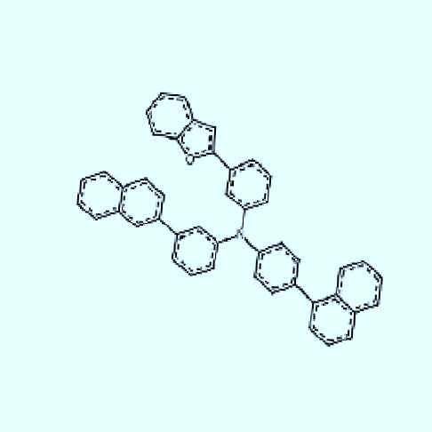 c1cc(-c2ccc3ccccc3c2)cc(N(c2ccc(-c3cccc4ccccc34)cc2)c2cccc(-c3cc4ccccc4o3)c2)c1